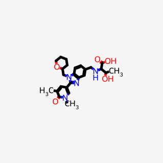 Cc1cc(-c2nc3cc(CNC(C(=O)O)C(C)O)ccc3n2CC2CCCCO2)cn(C)c1=O